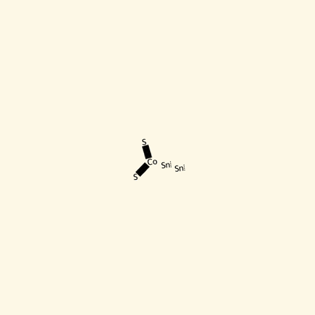 [S]=[Co]=[S].[Sn].[Sn]